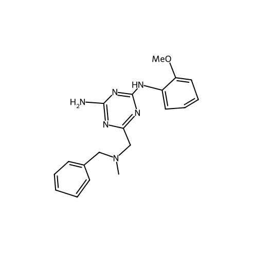 COc1ccccc1Nc1nc(N)nc(CN(C)Cc2ccccc2)n1